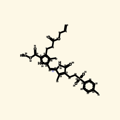 C=CCOC(=O)CCc1c(C(=O)OCCCC)[nH]c(/C=C2\NC(=O)C(CCS(=O)(=O)c3ccc(C)cc3)=C2C)c1C